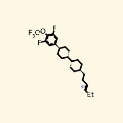 CC/C=C/CC[C@H]1CC[C@H]([C@H]2CC[C@H](c3cc(F)c(OC(F)(F)F)c(F)c3)CC2)CC1